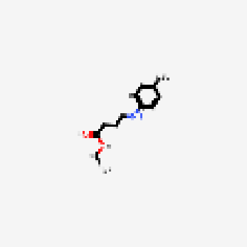 CCC(C)c1ccc(NCCCC(=O)OCC(F)(F)F)cc1